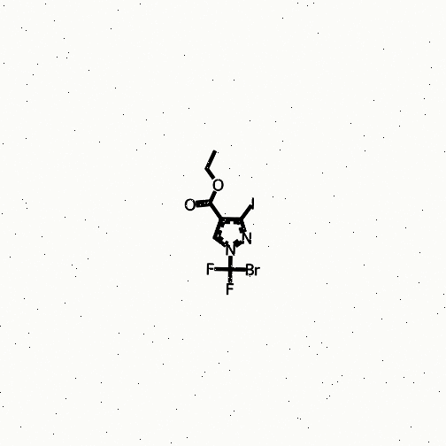 CCOC(=O)c1cn(C(F)(F)Br)nc1I